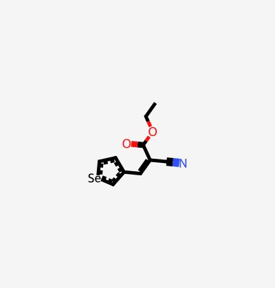 CCOC(=O)/C(C#N)=C\c1cc[se]c1